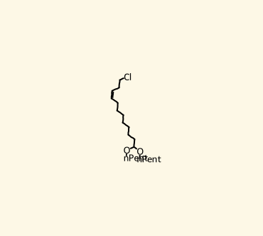 CCCCCOC(CCCCCCC/C=C\CCCl)OCCCCC